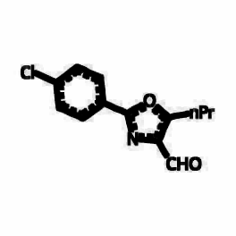 CCCc1oc(-c2ccc(Cl)cc2)nc1C=O